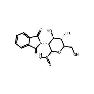 O=C1c2ccccc2C(=O)N1[C@H]1C(S(=O)O)O[C@H](CO)[C@@H](O)[C@@H]1O